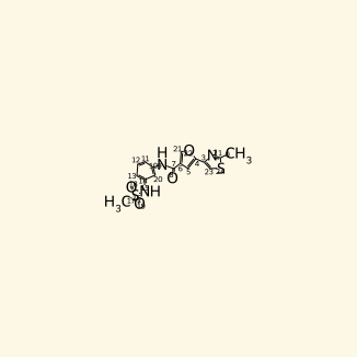 Cc1nc(-c2cc(C(=O)Nc3cccc(NS(C)(=O)=O)c3)co2)cs1